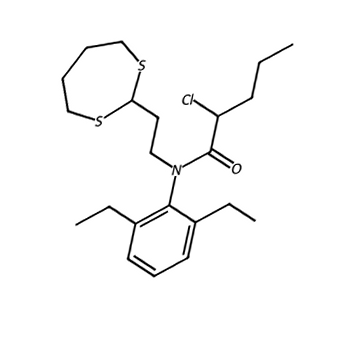 CCCC(Cl)C(=O)N(CCC1SCCCCS1)c1c(CC)cccc1CC